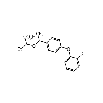 CCC(OC(c1ccc(Oc2ccccc2Cl)cc1)C(F)(F)F)C(=O)O